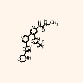 CCNC(=O)Nc1cc(-c2nc(C(F)(F)F)cs2)c(-c2cncc(-c3nnc(C4COCCN4)o3)c2)cn1